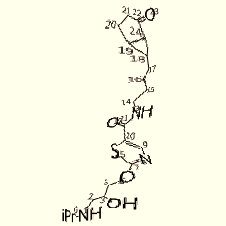 CC(C)NCC(O)COc1ncc(C(=O)NCCCCC2C3CCC(=O)C23)s1